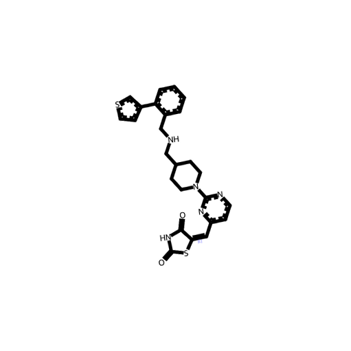 O=C1NC(=O)/C(=C\c2ccnc(N3CCC(CNCc4ccccc4-c4ccsc4)CC3)n2)S1